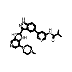 CC(C)C(=O)Nc1cncc(-c2ccc3[nH]nc(C4Nc5cncc(N6CCN(C)CC6)c5N4)c3c2)c1